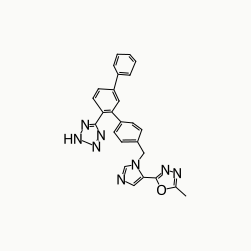 Cc1nnc(-c2cncn2Cc2ccc(-c3cc(-c4ccccc4)ccc3-c3nn[nH]n3)cc2)o1